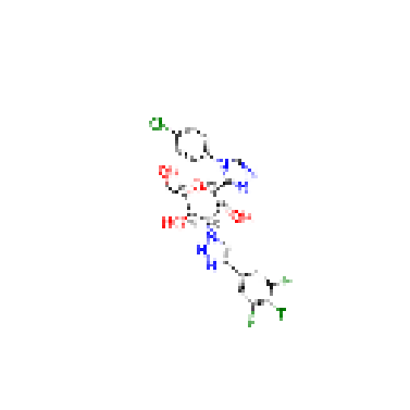 OC[C@H]1O[C@@H](c2nncn2-c2ccc(Cl)cc2)[C@H](O)[C@@H](n2cc(-c3cc(F)c(F)c(F)c3)nn2)[C@H]1O